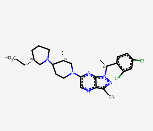 C[C@@H]1CN(c2cnc3c(C#N)nn([C@H](C)c4ccc(Cl)cc4Cl)c3n2)CCC1N1CCC[C@@H](CC(=O)O)C1